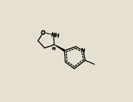 Cc1ccc([C@H]2CCON2)cn1